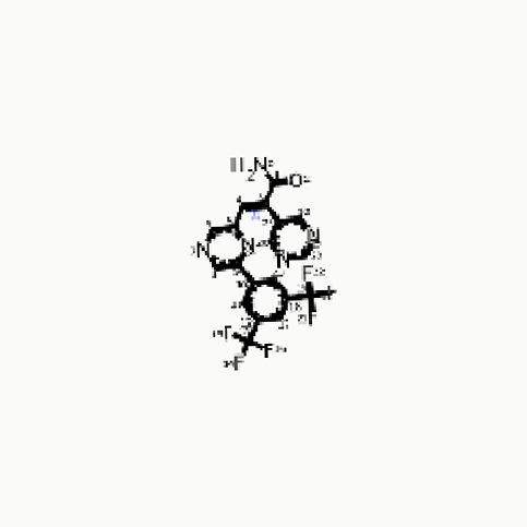 NC(=O)/C(=C/c1cncc(-c2cc(C(F)(F)F)cc(C(F)(F)F)c2)n1)c1cncnc1